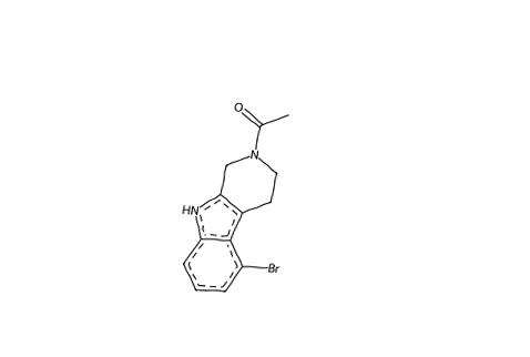 CC(=O)N1CCc2c([nH]c3cccc(Br)c23)C1